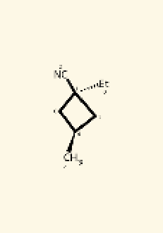 CC[C@]1(C#N)C[C@@H](C)C1